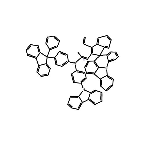 C=CC1=C(/C=C(\C)N(c2ccc(-n3c4ccccc4c4ccccc43)cc2)c2ccc(C3(c4ccccc4)c4ccccc4-c4ccccc43)cc2)C2(c3ccccc31)c1ccccc1-n1c3ccccc3c3cccc2c31